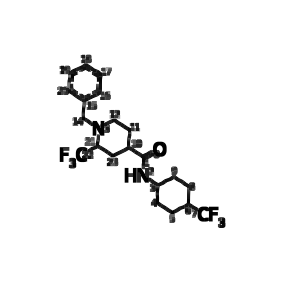 O=C(NC1CCC(C(F)(F)F)CC1)C1CCN(Cc2ccccc2)C(C(F)(F)F)C1